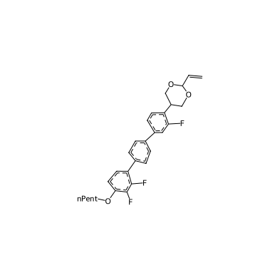 C=CC1OCC(c2ccc(-c3ccc(-c4ccc(OCCCCC)c(F)c4F)cc3)cc2F)CO1